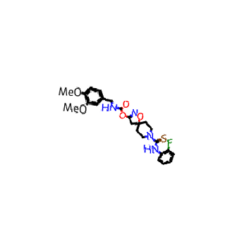 COc1ccc(CNC(=O)OC2=NOC3(CCN(C(=S)Nc4ccccc4F)CC3)C2)cc1OC